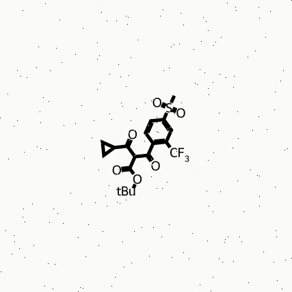 CC(C)(C)OC(=O)C(C(=O)c1ccc(S(C)(=O)=O)cc1C(F)(F)F)C(=O)C1CC1